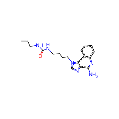 CCCNC(=O)NCCCCn1cnc2c(N)nc3ccccc3c21